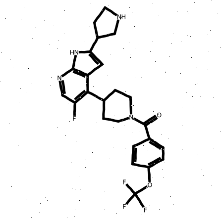 O=C(c1ccc(OC(F)(F)F)cc1)N1CCC(c2c(F)cnc3[nH]c(C4CCNC4)cc23)CC1